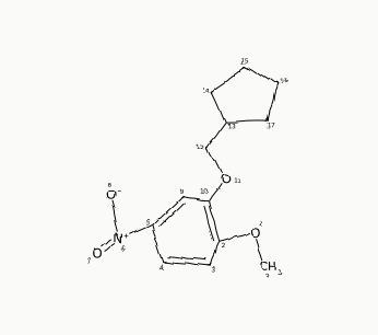 COc1ccc([N+](=O)[O-])cc1OCC1CCCC1